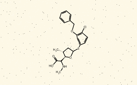 CNC(C(=O)O)[C@@H]1OC(Sc2ccc(Cl)c(OCc3ccccc3)c2)C[C@H]1C